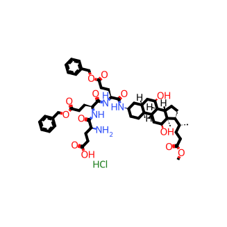 COC(=O)CC[C@@H](C)[C@H]1CC[C@H]2[C@@H]3[C@H](O)C[C@@H]4C[C@@H](NC(=O)[C@H](CCC(=O)OCc5ccccc5)NC(=O)[C@H](CCC(=O)OCc5ccccc5)NC(=O)[C@@H](N)CCC(=O)O)CC[C@]4(C)[C@H]3C[C@H](O)[C@]12C.Cl